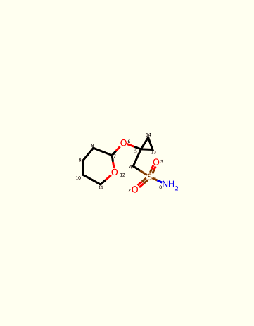 NS(=O)(=O)CC1(OC2CCCCO2)CC1